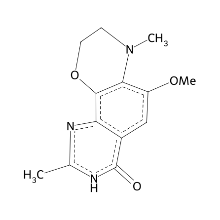 COc1cc2c(=O)[nH]c(C)nc2c2c1N(C)CCO2